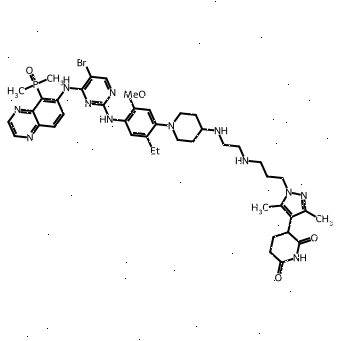 CCc1cc(Nc2ncc(Br)c(Nc3ccc4nccnc4c3P(C)(C)=O)n2)c(OC)cc1N1CCC(NCCNCCCn2nc(C)c(C3CCC(=O)NC3=O)c2C)CC1